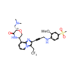 COc1cc(S(C)(=O)=O)ccc1NCC#Cc1nc2c(C3CO[C@@H](CN(C)C)C(=O)N3)cccn2c1CC(F)(F)F